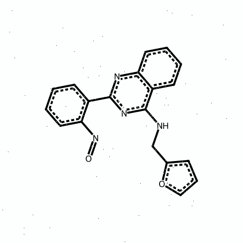 O=Nc1ccccc1-c1nc(NCc2ccco2)c2ccccc2n1